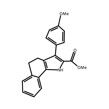 COC(=O)c1[nH]c2c(c1-c1ccc(OC)cc1)CCc1ccccc1-2